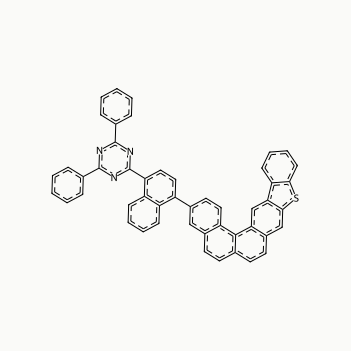 c1ccc(-c2nc(-c3ccccc3)nc(-c3ccc(-c4ccc5c(ccc6ccc7cc8sc9ccccc9c8cc7c65)c4)c4ccccc34)n2)cc1